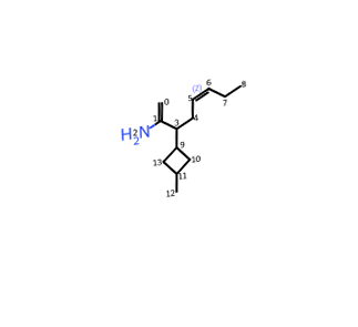 C=C(N)C(C/C=C\CC)C1CC(C)C1